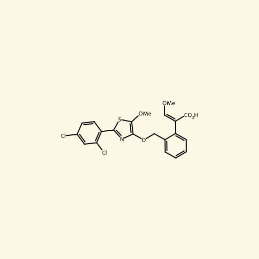 COC=C(C(=O)O)c1ccccc1COc1nc(-c2ccc(Cl)cc2Cl)sc1OC